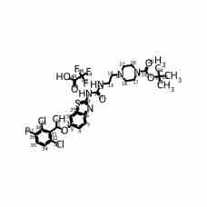 CC(Oc1ccc2nc(NC(=O)NCCN3CCN(C(=O)OC(C)(C)C)CC3)sc2c1)c1c(Cl)ccc(F)c1Cl.O=C(O)C(F)(F)F